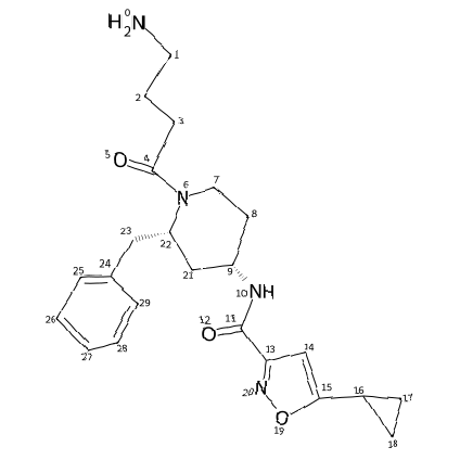 NCCCC(=O)N1CC[C@H](NC(=O)c2cc(C3CC3)on2)C[C@@H]1Cc1ccccc1